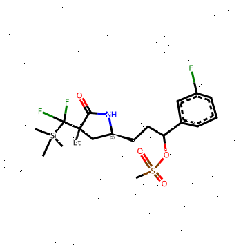 CCC1(C(F)(F)[Si](C)(C)C)C[C@H](CCC(OS(C)(=O)=O)c2cccc(F)c2)NC1=O